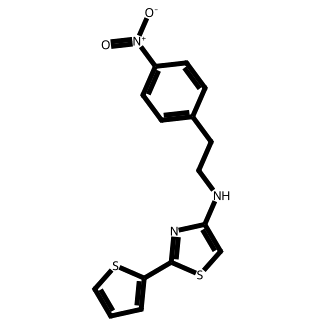 O=[N+]([O-])c1ccc(CCNc2csc(-c3cccs3)n2)cc1